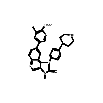 COc1ncc(-c2ccc3ncc4c(c3c2)n(-c2ccc(C3CCNCC3)cc2)c(=O)n4C)cc1C